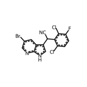 N#CC(c1c(Cl)ccc(F)c1Cl)c1c[nH]c2ncc(Br)cc12